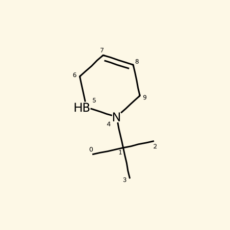 CC(C)(C)N1BCC=CC1